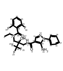 CCN(CC(O)(CNC(=O)c1cnn(-c2ccccc2)c1N)C(F)(F)F)C(=O)c1c(F)cccc1F